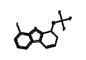 FC(F)(F)OC1CC=Cc2c1sc1c(I)cccc21